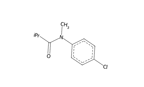 CC(C)C(=O)N(C)c1ccc(Cl)cc1